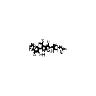 CC(=O)CN1C[C@@H]2CC1C[C@H]2c1sc2[nH]c(-c3cn4ncnc4c(C)c3C)c(C(C)C)c2c1C